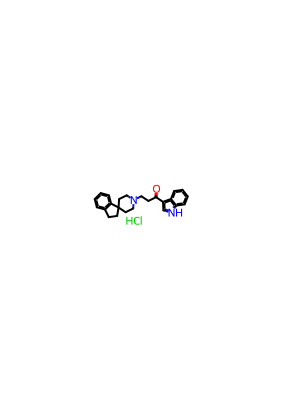 Cl.O=C(CCN1CCC2(CCc3ccccc32)CC1)c1c[nH]c2ccccc12